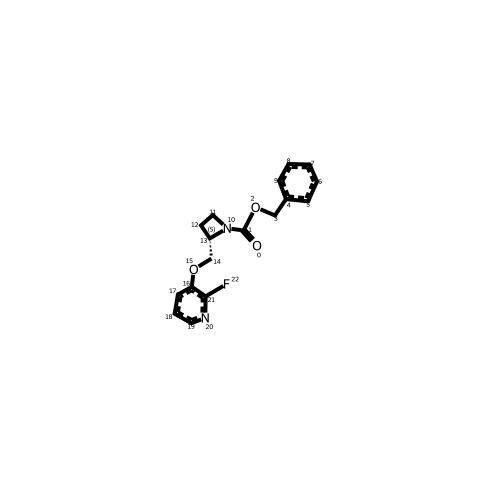 O=C(OCc1ccccc1)N1CC[C@H]1COc1cccnc1F